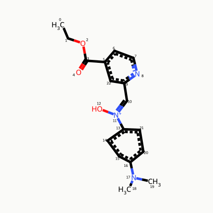 CCOC(=O)c1ccnc(C=[N+](O)c2ccc(N(C)C)cc2)c1